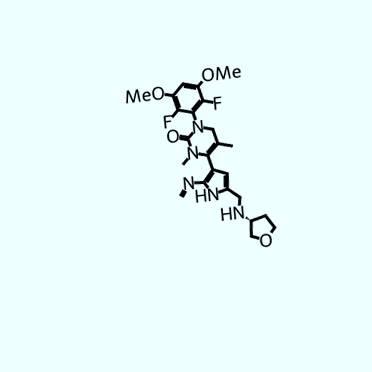 C=Nc1[nH]c(CN[C@@H]2CCOC2)cc1C1=C(C)CN(c2c(F)c(OC)cc(OC)c2F)C(=O)N1C